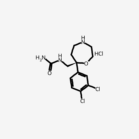 Cl.NC(=O)NC[C@@]1(c2ccc(Cl)c(Cl)c2)CCNCCO1